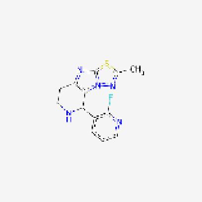 Cc1nn2c3c(nc2s1)CCNC3c1cccnc1F